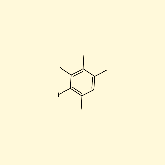 Cc1cc(C)c(I)c(C)c1C